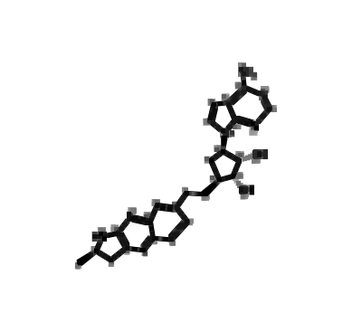 C[C@@H]1Cc2cc3ccc(CC[C@H]4C[C@@H](n5ccc6c(N)ncnc65)[C@H](O)[C@@H]4O)cc3nc2N1